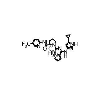 C[C@@]1(C(=O)Nc2ccc(C(F)(F)F)cn2)CCCN1c1nc(Nc2cc(C3CC3)[nH]n2)c2cccn2n1